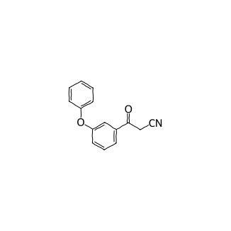 N#CCC(=O)c1cccc(Oc2ccccc2)c1